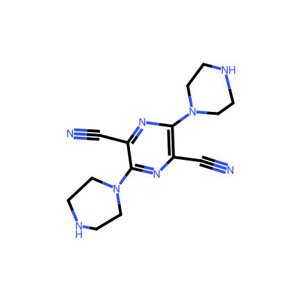 N#Cc1nc(N2CCNCC2)c(C#N)nc1N1CCNCC1